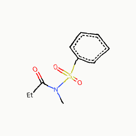 CCC(=O)N(C)S(=O)(=O)c1ccccc1